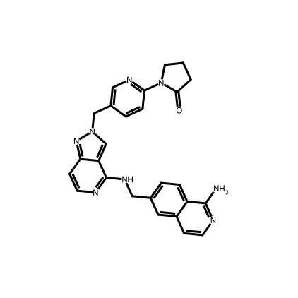 Nc1nccc2cc(CNc3nccc4nn(Cc5ccc(N6CCCC6=O)nc5)cc34)ccc12